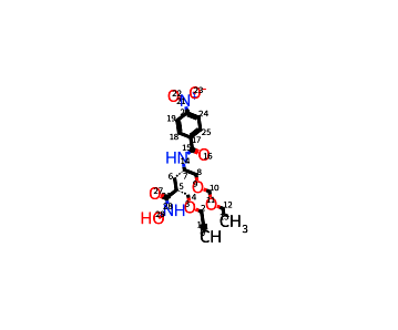 C#CCOC[C@@H](C[C@@H](COCOCC)NC(=O)c1ccc([N+](=O)[O-])cc1)C(=O)NO